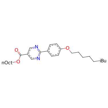 CCCCCCCCOC(=O)c1cnc(-c2ccc(OCCCCCC(C)CC)cc2)nc1